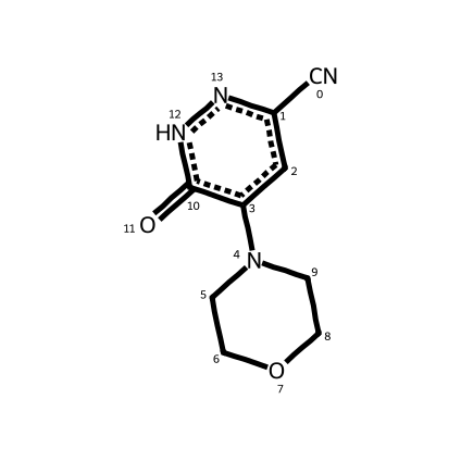 N#Cc1cc(N2CCOCC2)c(=O)[nH]n1